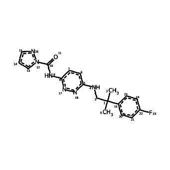 CC(C)(CNc1ccc(NC(=O)n2cccn2)nn1)c1ccc(F)cc1